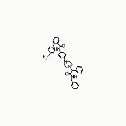 O=C(Nc1ccc(N2CCN(C(C(=O)NCc3ccccc3)c3ccccc3)CC2)cc1)c1ccccc1-c1ccc(C(F)(F)F)cc1